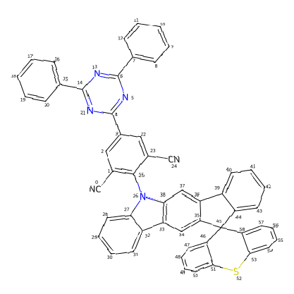 N#Cc1cc(-c2nc(-c3ccccc3)nc(-c3ccccc3)n2)cc(C#N)c1-n1c2ccccc2c2cc3c(cc21)-c1ccccc1C31c2ccccc2Sc2ccccc21